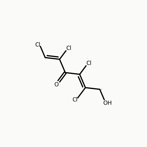 O=C(C(Cl)=CCl)C(Cl)=C(Cl)[CH]O